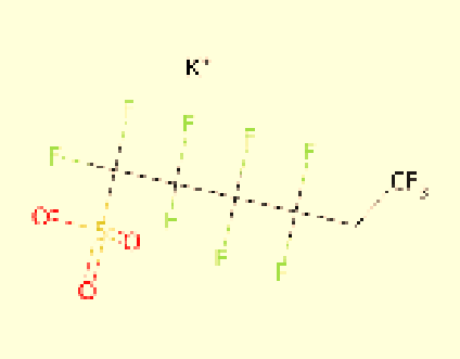 O=S(=O)([O-])C(F)(F)C(F)(F)C(F)(F)C(F)(F)CC(F)(F)F.[K+]